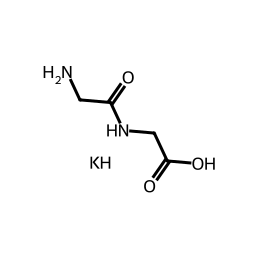 NCC(=O)NCC(=O)O.[KH]